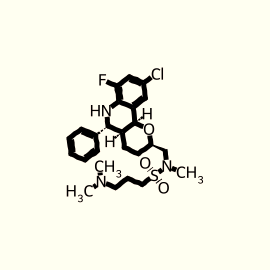 CN(C)CCCS(=O)(=O)N(C)C[C@H]1CC[C@@H]2[C@H](O1)c1cc(Cl)cc(F)c1N[C@H]2c1ccccc1